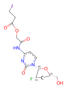 O=C(COC(=O)CCI)Nc1ccn([C@@H]2O[C@H](CO)C[C@@H]2F)c(=O)n1